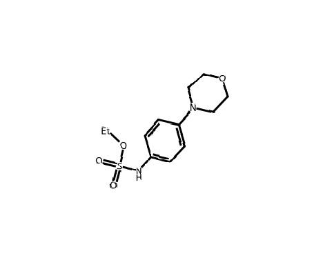 CCOS(=O)(=O)Nc1ccc(N2CCOCC2)cc1